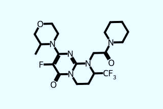 CC1COCCN1c1nc2n(c(=O)c1F)CCC(C(F)(F)F)N2CC(=O)N1CCCCC1